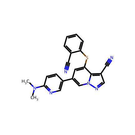 CN(C)c1ccc(-c2cc(Sc3ccccc3C#N)c3c(C#N)cnn3c2)cn1